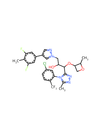 Cc1c(F)cc(-c2cnn(CC(O)C(OC3COC3C)c3nnc(C)n3-c3cc(Cl)ccc3C(F)(F)F)c2)cc1F